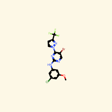 COc1cc(Cl)cc(Nc2ncc(Br)c(-n3ccc(C(F)(F)F)n3)n2)c1